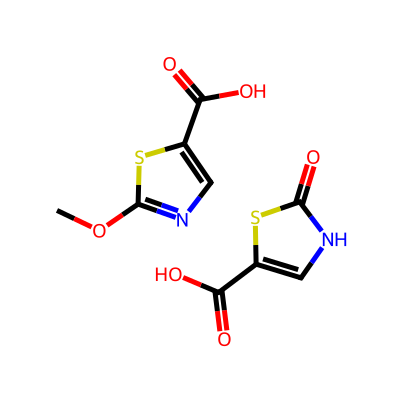 COc1ncc(C(=O)O)s1.O=C(O)c1c[nH]c(=O)s1